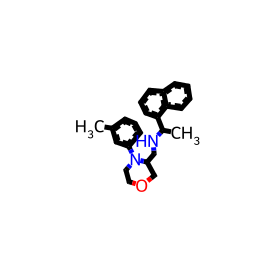 Cc1cccc(N2CCOCC2CNC(C)c2cccc3ccccc23)c1